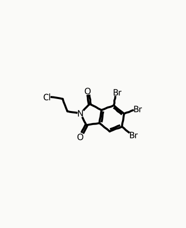 O=C1c2cc(Br)c(Br)c(Br)c2C(=O)N1CCCl